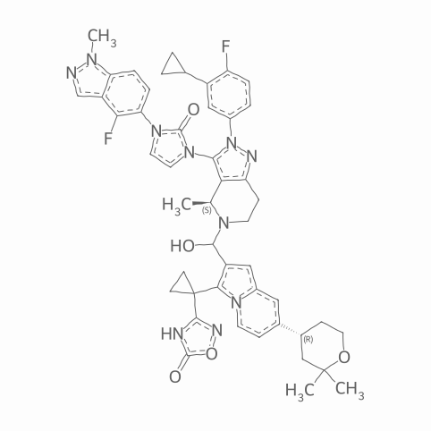 C[C@H]1c2c(nn(-c3ccc(F)c(C4CC4)c3)c2-n2ccn(-c3ccc4c(cnn4C)c3F)c2=O)CCN1C(O)c1cc2cc([C@@H]3CCOC(C)(C)C3)ccn2c1C1(c2noc(=O)[nH]2)CC1